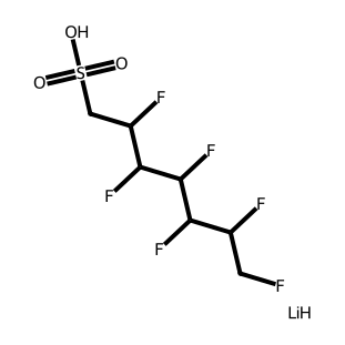 O=S(=O)(O)CC(F)C(F)C(F)C(F)C(F)CF.[LiH]